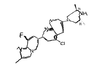 Cc1cn2cc(-c3cc(Cl)c4cc(N5C[C@@H](C)N[C@H](C)C5)cnc4n3)cc(F)c2n1